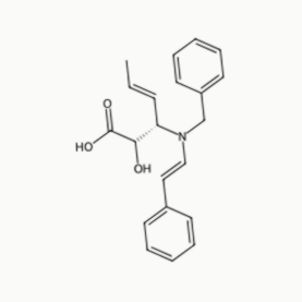 CC=C[C@@H](C(O)C(=O)O)N(C=Cc1ccccc1)Cc1ccccc1